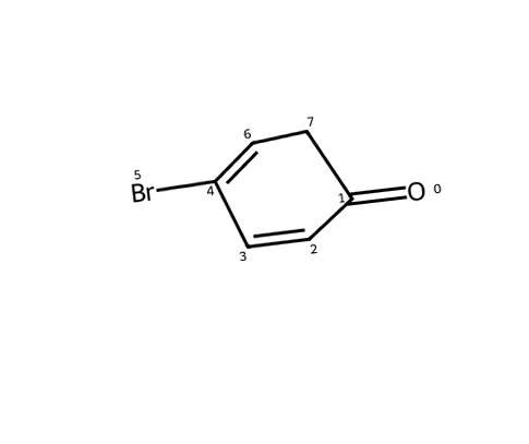 O=C1C=CC(Br)=CC1